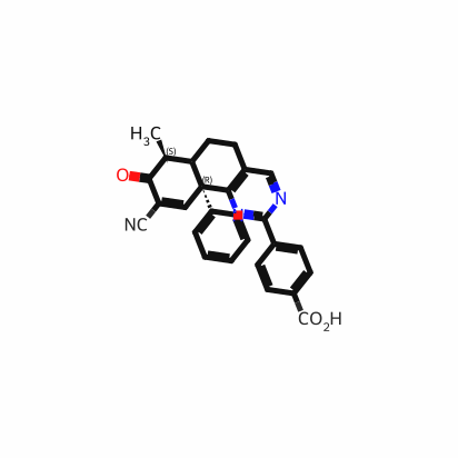 C[C@@H]1C(=O)C(C#N)=C[C@]2(c3ccccc3)c3nc(-c4ccc(C(=O)O)cc4)ncc3CCC12